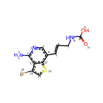 Nc1ncc(C=CCNC(=O)O)c2scc(Br)c12